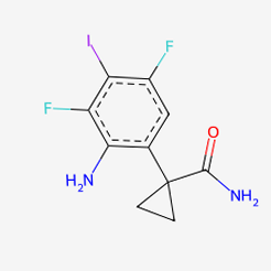 NC(=O)C1(c2cc(F)c(I)c(F)c2N)CC1